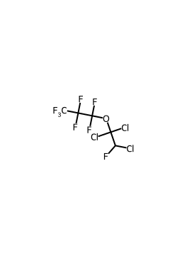 FC(Cl)C(Cl)(Cl)OC(F)(F)C(F)(F)C(F)(F)F